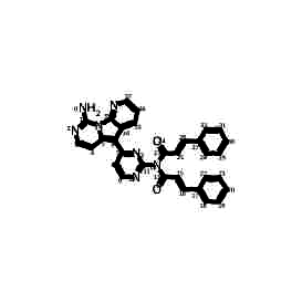 Nc1nccc2c(-c3ccnc(N(C(=O)/C=C/c4ccccc4)C(=O)/C=C/c4ccccc4)n3)c3cccnc3n12